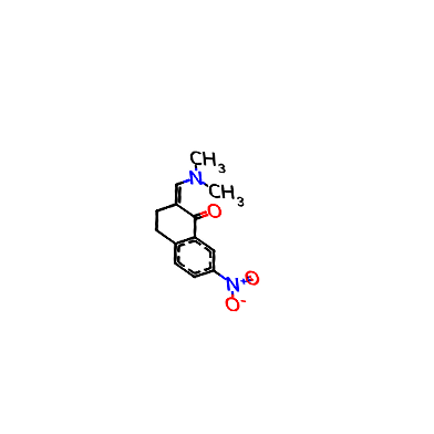 CN(C)C=C1CCc2ccc([N+](=O)[O-])cc2C1=O